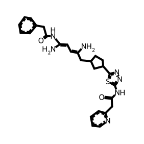 N/C(=C\C=C(/N)NC(=O)Cc1ccccc1)CC1CCC(c2nnc(NC(=O)Cc3ccccn3)s2)C1